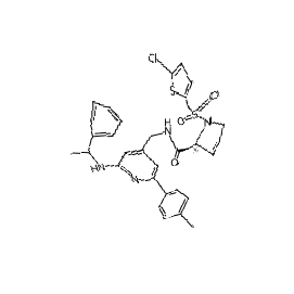 Cc1ccc(-c2cc(CNC(=O)[C@@H]3C=CCN3S(=O)(=O)c3ccc(Cl)s3)cc(NC(C)c3ccccc3)n2)cc1